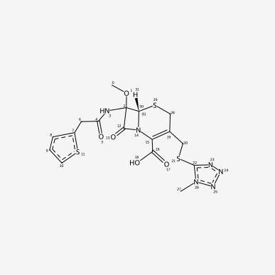 COC1(NC(=O)Cc2cccs2)C(=O)N2C(C(=O)O)=C(CSc3nnnn3C)CS[C@H]21